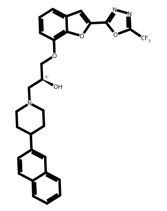 O[C@H](COc1cccc2cc(-c3nnc(C(F)(F)F)o3)oc12)CN1CCC(c2ccc3ccccc3c2)CC1